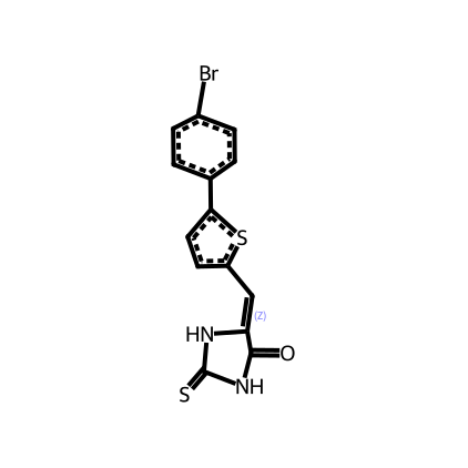 O=C1NC(=S)N/C1=C\c1ccc(-c2ccc(Br)cc2)s1